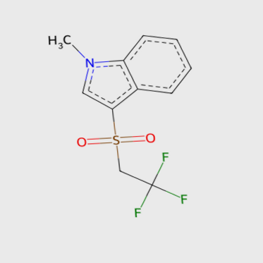 Cn1cc(S(=O)(=O)CC(F)(F)F)c2ccccc21